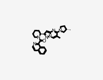 Cc1cn2nc([C@@H]3CCCCN3C(=O)c3nccc4ccccc34)cc2nc1N1CC[C@H](C)C1